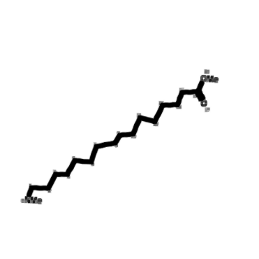 CNCCCCCCCCCCCCCCCC(=O)OC